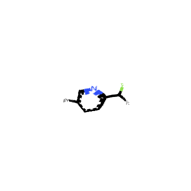 CCC(F)c1ccc(C(C)C)cn1